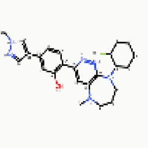 CN1CCCN([C@@H]2CCCC[C@@H]2F)c2nnc(-c3ccc(-c4cnn(C)c4)cc3O)cc21